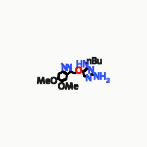 CCCCNc1nc(N)ncc1OCc1nn(C)c2cc(OC)c(OC)cc12